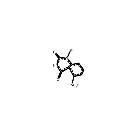 CC(C)n1c(=O)[nH]c(=O)c2c(S(=O)(=O)O)cccc21